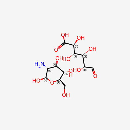 N[C@@H]1[C@@H](O)[C@H](O)[C@@H](CO)O[C@H]1O.O=C[C@H](O)[C@@H](O)[C@H](O)[C@H](O)C(=O)O